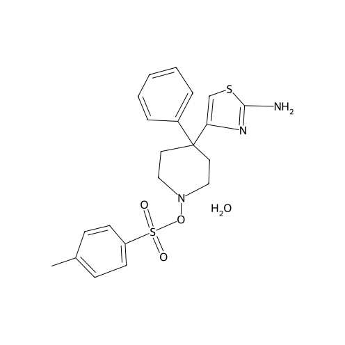 Cc1ccc(S(=O)(=O)ON2CCC(c3ccccc3)(c3csc(N)n3)CC2)cc1.O